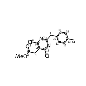 COC(=O)Cc1c(Cl)nc(Cc2ccc(C)cc2)nc1Cl